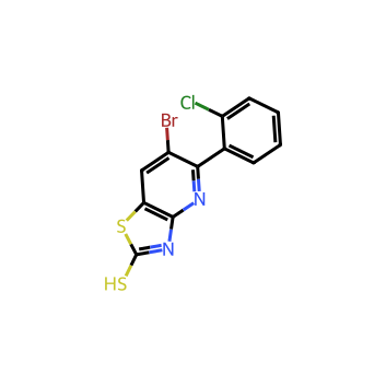 Sc1nc2nc(-c3ccccc3Cl)c(Br)cc2s1